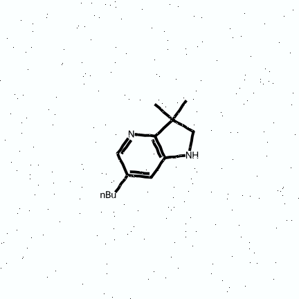 CCCCc1cnc2c(c1)NCC2(C)C